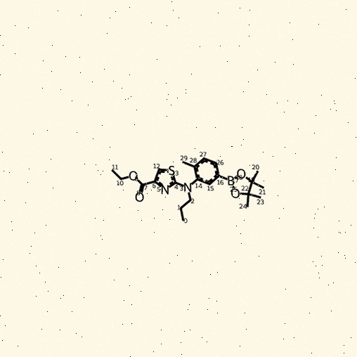 CCCN(c1nc(C(=O)OCC)cs1)c1cc(B2OC(C)(C)C(C)(C)O2)ccc1C